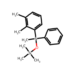 Cc1cccc([Si](C)(O[Si](C)(C)C)c2ccccc2)c1C